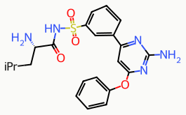 CC(C)C[C@H](N)C(=O)NS(=O)(=O)c1cccc(-c2cc(Oc3ccccc3)nc(N)n2)c1